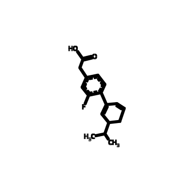 CC(C)C1C=C(c2ccc(CC(=O)O)cc2F)C=CC1